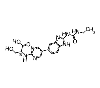 CCNC(=O)Nc1nc2cc(-c3cnc(N[C@@H](CO)C(=O)O)nc3)ccc2[nH]1